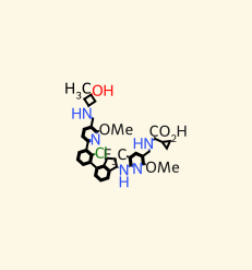 COc1nc(-c2cccc(-c3cccc4c3CC[C@@H]4Nc3nc(OC)c(CN[C@H](C(=O)O)C4CC4)cc3C(F)(F)F)c2Cl)ccc1CN[C@H]1C[C@](C)(O)C1